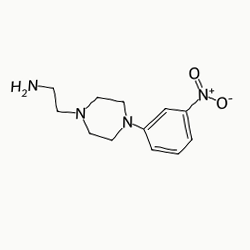 NCCN1CCN(c2cccc([N+](=O)[O-])c2)CC1